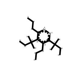 CCCc1nnc(C(C)(C)CC)c(CCC)c1C(C)(C)CC